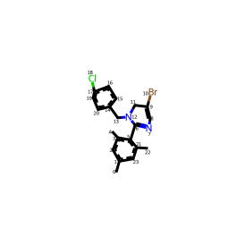 Cc1cc(C)c(C2=NC=C(Br)CN2Cc2ccc(Cl)cc2)c(C)c1